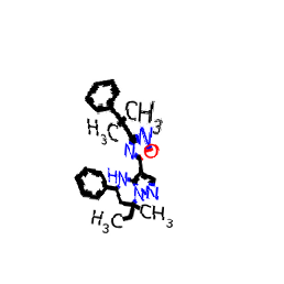 CCC1(C)CC(c2ccccc2)Nc2c(-c3nc(C(C)(C)c4ccccc4)no3)cnn21